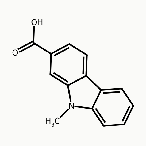 Cn1c2ccccc2c2ccc(C(=O)O)cc21